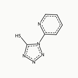 Sc1nnnn1-c1ccccn1